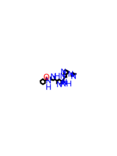 Cc1cn(-c2ccnc3[nH]c(-c4n[nH]c5ncc(-c6cncc(NC(=O)C7CCCCC7)c6)cc45)cc23)cn1